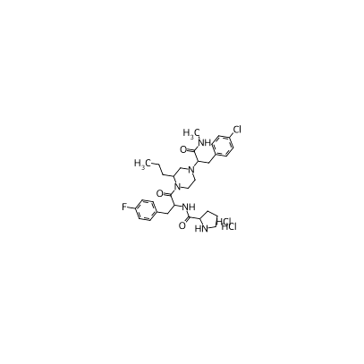 CCCC1CN(C(Cc2ccc(Cl)cc2)C(=O)NC)CCN1C(=O)C(Cc1ccc(F)cc1)NC(=O)C1CCCN1.Cl.Cl